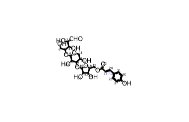 O=CC(O)C(O)C(CO)OC1OCC(O)C(OC2OC(COC(=O)/C=C/c3ccc(O)cc3)C(O)C2O)C1O